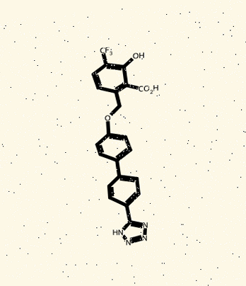 O=C(O)c1c(COc2ccc(-c3ccc(-c4nnn[nH]4)cc3)cc2)ccc(C(F)(F)F)c1O